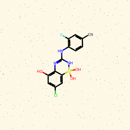 N#Cc1ccc(NC2=Nc3c(O)cc(Cl)cc3S(O)(O)N2)c(F)c1